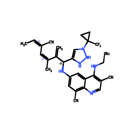 C=C(/C(C)=C\C(C#N)=C/C)[C@H](Nc1cc(C#N)c2ncc(C#N)c(NCC(C)(C)C)c2c1)C1=CN(C2(C(F)(F)F)CC2)NN1